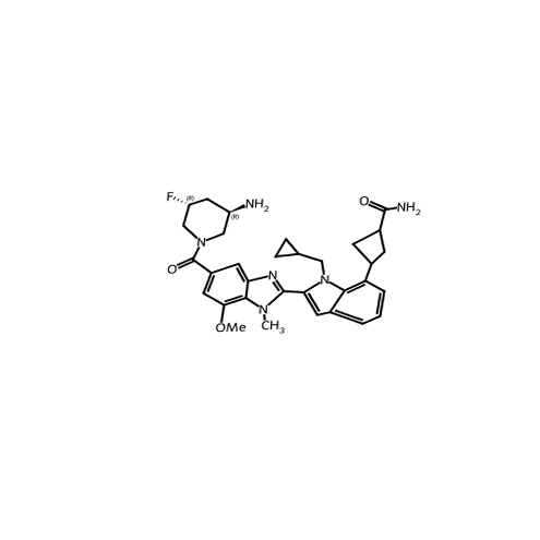 COc1cc(C(=O)N2C[C@H](N)C[C@@H](F)C2)cc2nc(-c3cc4cccc(C5CC(C(N)=O)C5)c4n3CC3CC3)n(C)c12